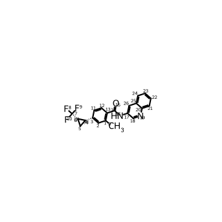 Cc1cc([C@@H]2C[C@@H]2C(F)(F)F)ccc1C(=O)Nc1cnc2ccccc2c1